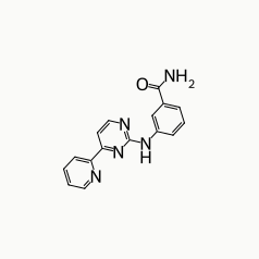 NC(=O)c1cccc(Nc2nccc(-c3ccccn3)n2)c1